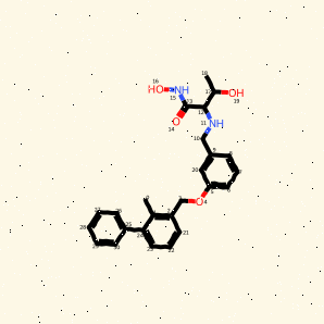 Cc1c(COc2cccc(CNC(C(=O)NO)C(C)O)c2)cccc1-c1ccccc1